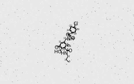 CCCNC(=O)c1c(O)c(=O)cc(CNS(=O)(=O)c2ccc(Cl)cc2)n1C